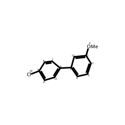 COc1c[c]cc(-c2ccc(Cl)cc2)c1